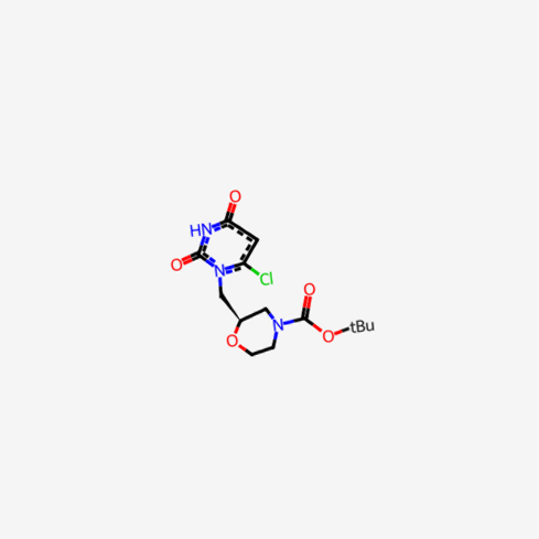 CC(C)(C)OC(=O)N1CCO[C@@H](Cn2c(Cl)cc(=O)[nH]c2=O)C1